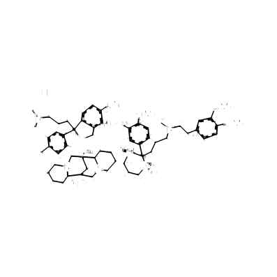 C1CCN2C[C@@H]3C[C@@H](CN4CCCC[C@@H]34)[C@H]2C1.CN(C)CCCC1(c2ccc(F)cc2)OCc2cc(C#N)ccc21.COc1ccc(CCN(C)CCCC2(c3ccc(OC)c(OC)c3)S(=O)(=O)CCCS2(=O)=O)cc1OC.Cl